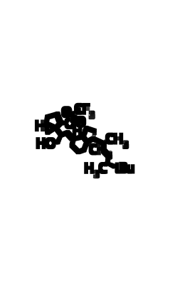 C[C@H](/C=C/[C@H](C)C(C)(C)C)[C@H]1CC[C@H]2/C(=C/[C@@H](CO)[C@]34C[C@H]3CC=C4OS(=O)(=O)C(F)(F)F)CCC[C@]12C